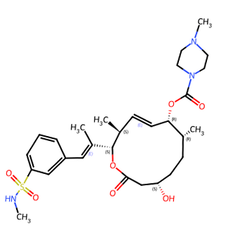 CNS(=O)(=O)c1cccc(/C=C(\C)[C@H]2OC(=O)C[C@@H](O)CC[C@@H](C)[C@@H](OC(=O)N3CCN(C)CC3)/C=C/[C@@H]2C)c1